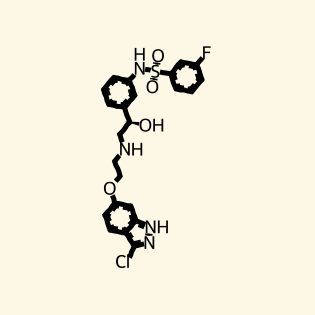 O=S(=O)(Nc1cccc([C@@H](O)CNCCOc2ccc3c(Cl)n[nH]c3c2)c1)c1cccc(F)c1